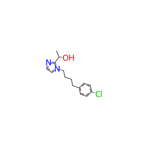 CC(O)c1nccn1CCCCc1ccc(Cl)cc1